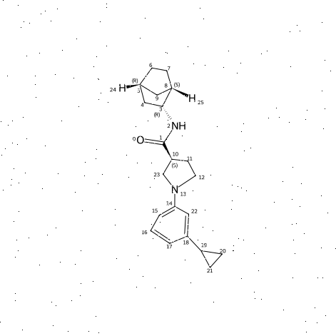 O=C(N[C@@H]1C[C@@H]2CC[C@H]1C2)[C@H]1CCN(c2cccc(C3CC3)c2)C1